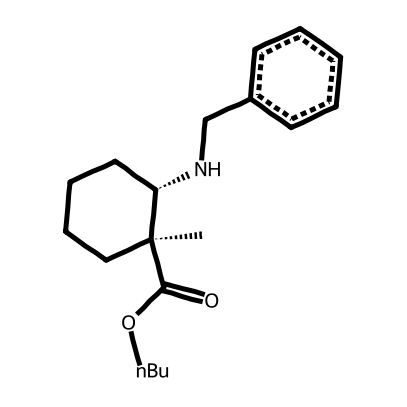 CCCCOC(=O)[C@@]1(C)CCCC[C@@H]1NCc1ccccc1